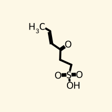 CC=CC(=O)CCS(=O)(=O)O